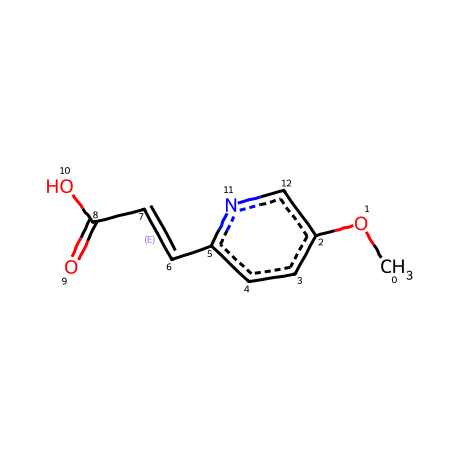 COc1ccc(/C=C/C(=O)O)nc1